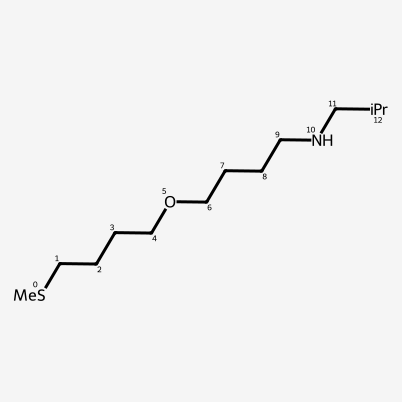 CSCCCCOCCCCNCC(C)C